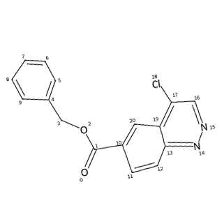 O=C(OCc1ccccc1)c1ccc2nncc(Cl)c2c1